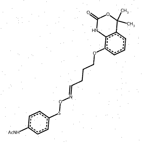 CC(=O)Nc1ccc(SON=CCCCOc2cccc3c2NC(=O)OC3(C)C)cc1